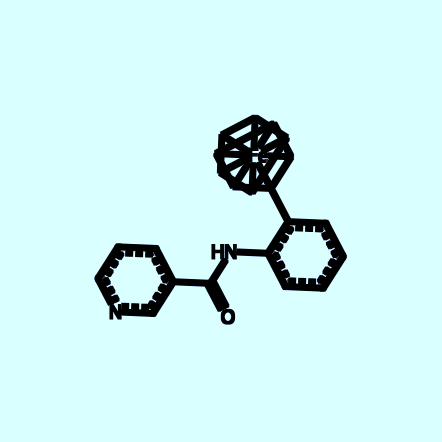 O=C(Nc1ccccc1[C]12[CH]3[CH]4[CH]5[CH]1[Fe]45321678[CH]2[CH]1[CH]6[CH]7[CH]28)c1cccnc1